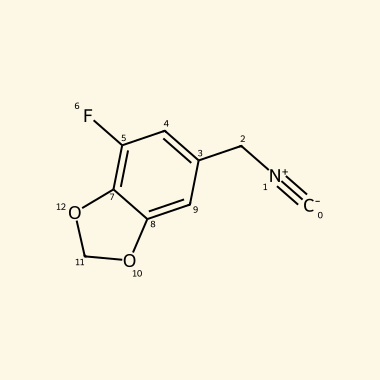 [C-]#[N+]Cc1cc(F)c2c(c1)OCO2